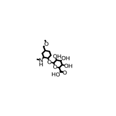 CNC1CC(COC)CCC1OC1OC(C(=O)O)C(O)C(O)C1O